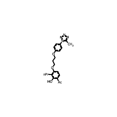 CCCc1c(OCCCOc2ccc(-n3nnnc3C)cc2)ccc(C(C)=O)c1O